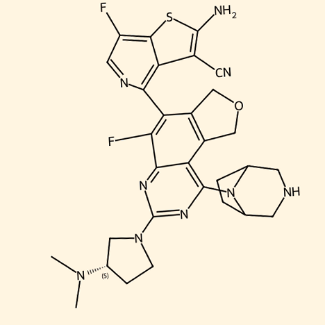 CN(C)[C@H]1CCN(c2nc(N3C4CCC3CNC4)c3c4c(c(-c5ncc(F)c6sc(N)c(C#N)c56)c(F)c3n2)COC4)C1